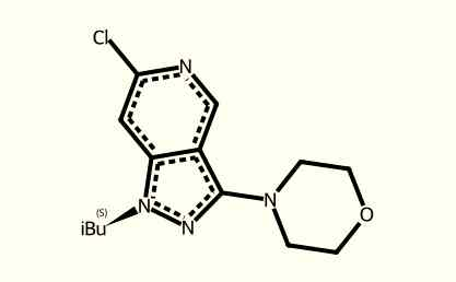 CC[C@H](C)n1nc(N2CCOCC2)c2cnc(Cl)cc21